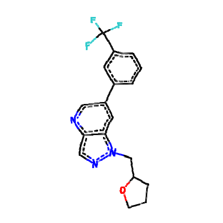 FC(F)(F)c1cccc(-c2cnc3cnn(CC4CCCO4)c3c2)c1